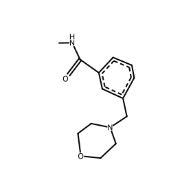 CNC(=O)c1cccc(CN2CCOCC2)c1